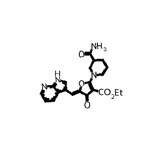 CCOC(=O)C1=C(N2CCCC(C(N)=O)C2)OC(=Cc2c[nH]c3ncccc23)C1=O